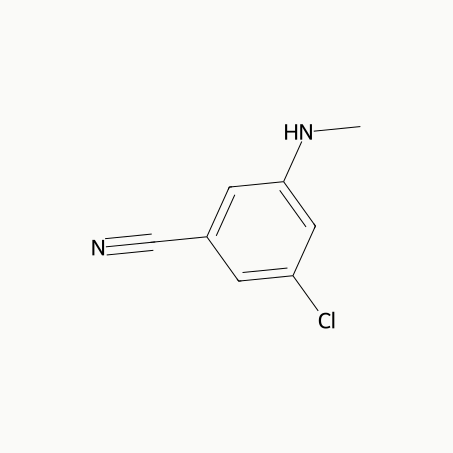 CNc1cc(Cl)cc(C#N)c1